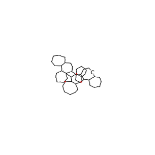 C1CCCC2C(CC1)CC1CCCCC1C2C12CCCCC[C]1C1CCCCCC1CCC2C1CCC2C3CCCCCC3CCCC21